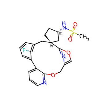 CS(=O)(=O)N[C@H]1CC[C@@]2(Cc3cccc(c3F)-c3cccnc3OCc3coc2n3)C1